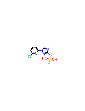 OP(O)(=S)Oc1ncn(-c2cccc(Cl)n2)n1